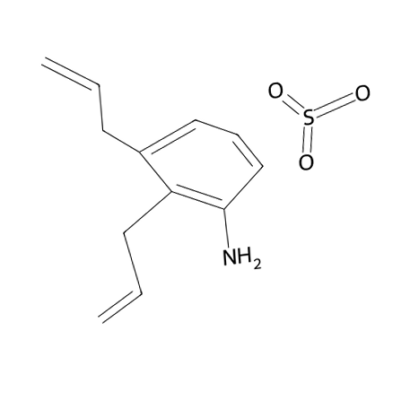 C=CCc1cccc(N)c1CC=C.O=S(=O)=O